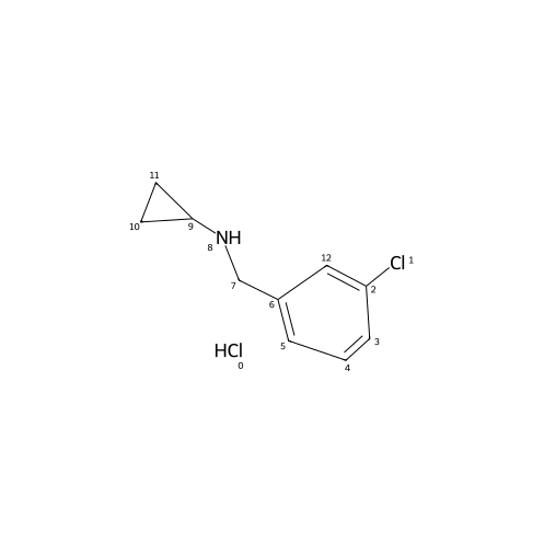 Cl.Clc1cccc(CNC2CC2)c1